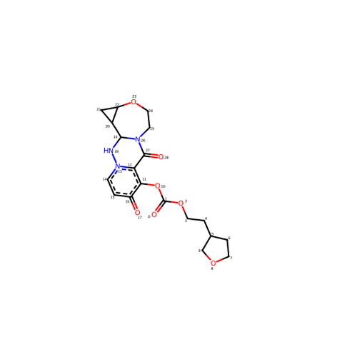 O=C(OCCC1CCOC1)Oc1c2n(ccc1=O)NC1C3CC3OCCN1C2=O